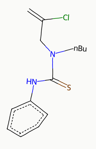 C=C(Cl)CN(CCCC)C(=S)Nc1ccccc1